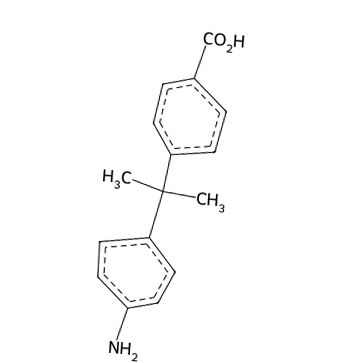 CC(C)(c1ccc(N)cc1)c1ccc(C(=O)O)cc1